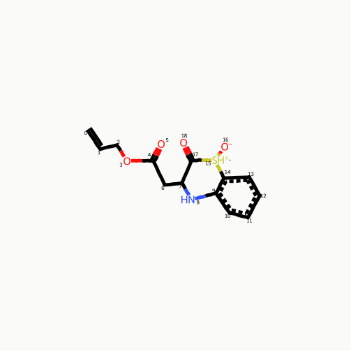 C=CCOC(=O)CC1Nc2ccccc2[SH+]([O-])C1=O